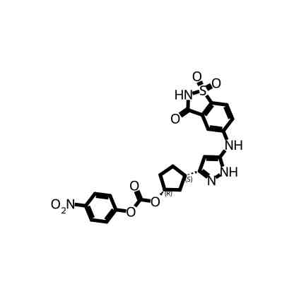 O=C(Oc1ccc([N+](=O)[O-])cc1)O[C@@H]1CC[C@H](c2cc(Nc3ccc4c(c3)C(=O)NS4(=O)=O)[nH]n2)C1